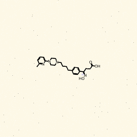 Cc1cccc(N2CCN(CCCCc3ccc(/C(CCC(=O)O)=N\O)cc3)CC2)n1